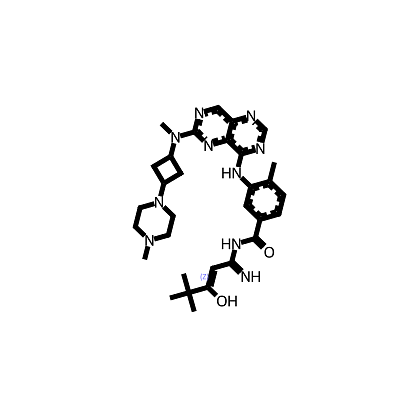 Cc1ccc(C(=O)NC(=N)/C=C(\O)C(C)(C)C)cc1Nc1ncnc2cnc(N(C)C3CC(N4CCN(C)CC4)C3)nc12